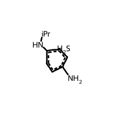 CC(C)Nc1ccc(N)cc1.S